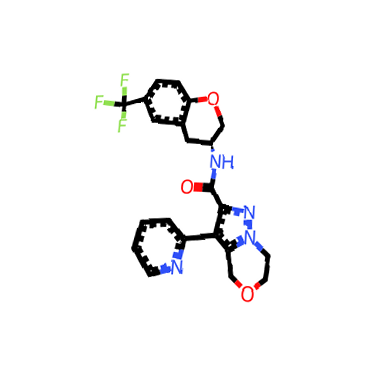 O=C(N[C@H]1COc2ccc(C(F)(F)F)cc2C1)c1nn2c(c1-c1ccccn1)COCC2